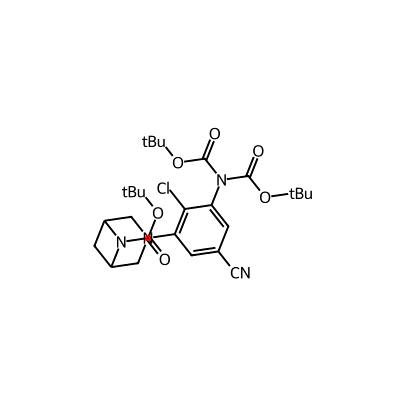 CC(C)(C)OC(=O)N(C(=O)OC(C)(C)C)c1cc(C#N)cc(N2CC3CC(C2)N3C(=O)OC(C)(C)C)c1Cl